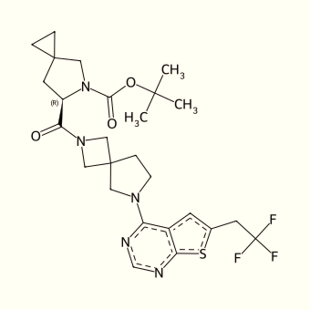 CC(C)(C)OC(=O)N1CC2(CC2)C[C@@H]1C(=O)N1CC2(CCN(c3ncnc4sc(CC(F)(F)F)cc34)C2)C1